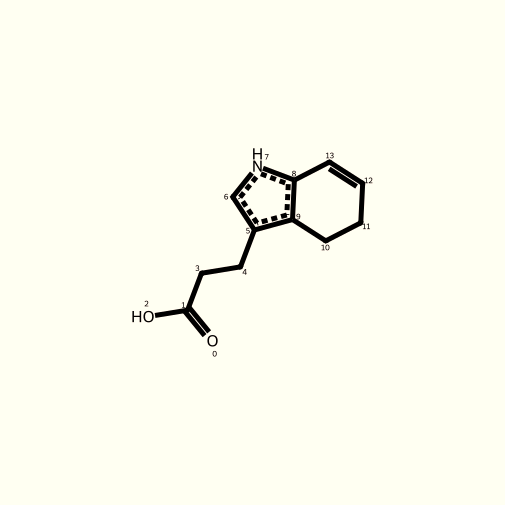 O=C(O)CCc1c[nH]c2c1CCC=C2